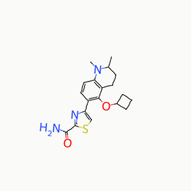 CC1CCc2c(ccc(-c3csc(C(N)=O)n3)c2OC2CCC2)N1C